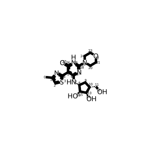 Cc1csc(-c2c(N[C@@H]3C[C@H](CO)[C@@H](O)[C@H]3O)nc(N3CCOCC3)[nH]c2=O)n1